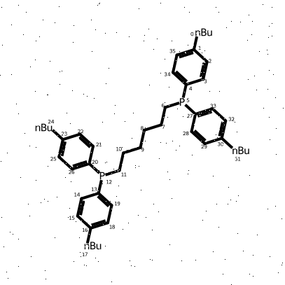 CCCCc1ccc(P(CCCCCCP(c2ccc(CCCC)cc2)c2ccc(CCCC)cc2)c2ccc(CCCC)cc2)cc1